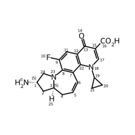 N[C@H]1C[C@@H]2CC=Cc3c(c(F)cc4c(=O)c(C(=O)O)cn(C5CC5)c34)N2C1